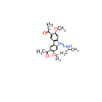 COc1cc2c(cc1C(C)=O)c1cc(C(C)=O)c(OC)cc1n2CCNC(C)C